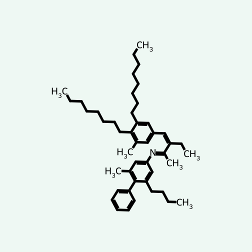 CCCCCCCCc1cc(C=C(CC)C(C)=Nc2cc(C)c(-c3ccccc3)c(CCCC)c2)cc(C)c1CCCCCCCC